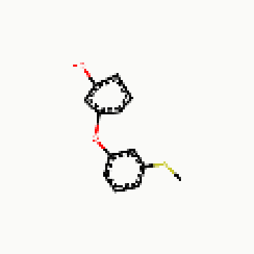 CSc1cccc(Oc2cccc(O)c2)c1